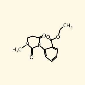 CCOC(=O)c1ccccc1N1C(=O)CCN(C)C1=O